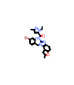 CCn1nc(C)cc1C(=O)Nc1nc2ccc3oc(C)cc3c2n1Cc1ccc(Br)cc1